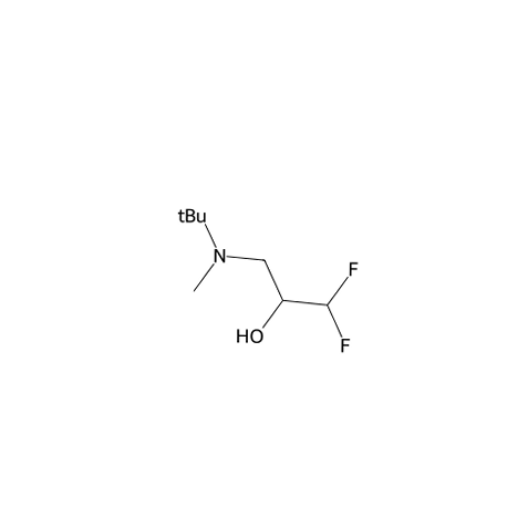 CN(CC(O)C(F)F)C(C)(C)C